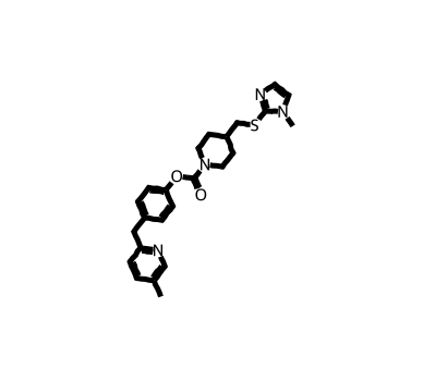 Cc1ccc(Cc2ccc(OC(=O)N3CCC(CSc4nccn4C)CC3)cc2)nc1